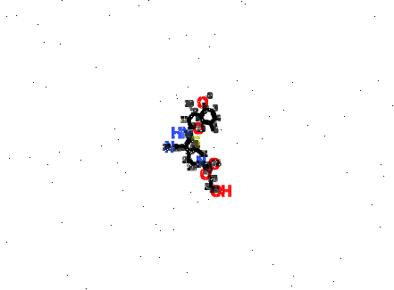 COc1ccc(C)cc1[C@@H](C)CC(=O)Nc1sc2c(c1C#N)CCN(C(=O)OCCO)C2